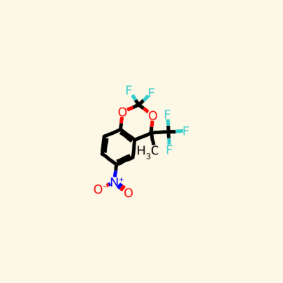 CC1(C(F)(F)F)OC(F)(F)Oc2ccc([N+](=O)[O-])cc21